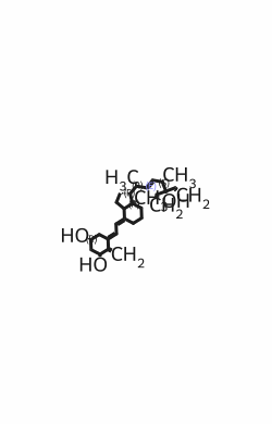 C=CC(O)(C=C)[C@@H](C)/C=C/[C@@H](C)[C@H]1CCC2C(=CC=C3C[C@@H](O)CC(O)C3=C)CCC[C@@]21C